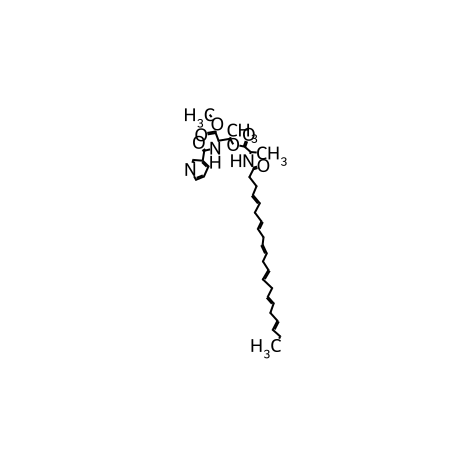 CCC=CCC=CCC=CCC=CCC=CCC=CCCC(=O)NC(C)C(=O)O[C@H](C)[C@H](NC(=O)c1cccnc1)C(=O)OC